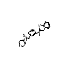 O=C(Cc1ccccc1Cl)Nc1ccnc(C[NH+]([O-])C2CCOCC2)c1